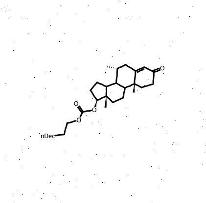 CCCCCCCCCCCCOC(=O)O[C@H]1CCC2C3C(CC[C@@]21C)[C@@]1(C)CCC(=O)C=C1C[C@H]3C